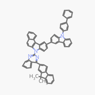 CC1(C)c2ccccc2-c2ccc(-c3nc(-n4c5ccc(-c6ccc7c(c6)c6ccccc6n7-c6ccc(-c7ccccc7)cc6)cc5c5c6ccccc6ccc54)nc4ccccc34)cc21